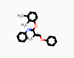 CC(=C\Oc1ccccc1)/C(=N\c1ccccc1)Oc1cccc(C)c1C